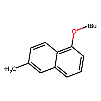 [CH2]c1ccc2c(OC(C)(C)C)cccc2c1